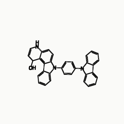 OC1C=CNc2ccc3c(c21)c1ccccc1n3-c1ccc(-n2c3ccccc3c3ccccc32)cc1